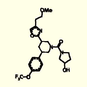 COCCc1coc(C2CC(c3ccc(OC(F)(F)F)cc3)CN(C(=O)N3CCC(O)C3)C2)n1